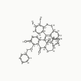 O=C1c2c(OCc3ccccc3)c(=O)ccn2N([C@@H]2c3ccccc3SCc3c2ccc(F)c3F)[C@@H]2c3cnnn3CCN12